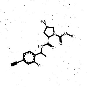 C#Cc1ccc(C(C)NC(=O)[C@@H]2C[C@@H](O)CN2C(=O)OC(C)(C)C)c(Cl)c1